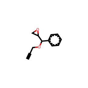 C#CCOC(c1ccccc1)C1CO1